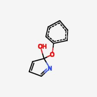 OC1(Oc2ccccc2)C=CC=N1